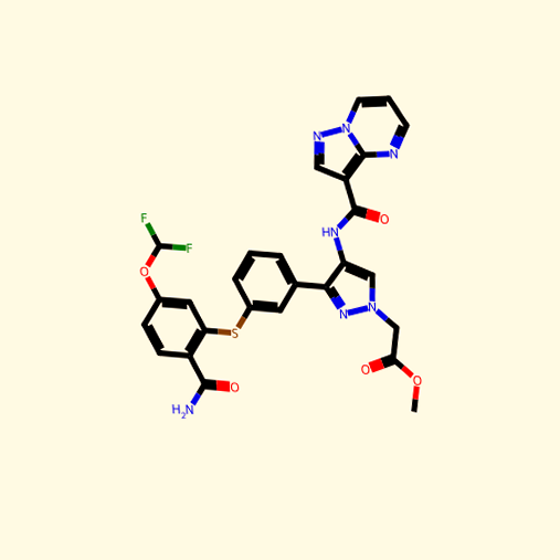 COC(=O)Cn1cc(NC(=O)c2cnn3cccnc23)c(-c2cccc(Sc3cc(OC(F)F)ccc3C(N)=O)c2)n1